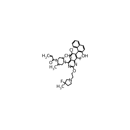 C=CC(=O)N1C[C@H](C)N(c2nc(OCCN3CCC(C)(F)C3)nc3c(F)c(-c4c(O)ccc5ccccc45)c(Cl)cc23)C[C@H]1C